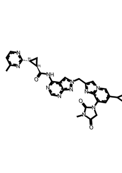 Cc1ccnc([C@@H]2C[C@H]2C(=O)Nc2ncnc3nn(Cc4cn5cc(C6CC6)cc(N6CC(=O)N(C)C6=O)c5n4)cc23)n1